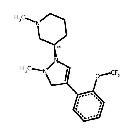 CN1CCC[C@@H](N2C=C(c3ccccc3OC(F)(F)F)CN2C)C1